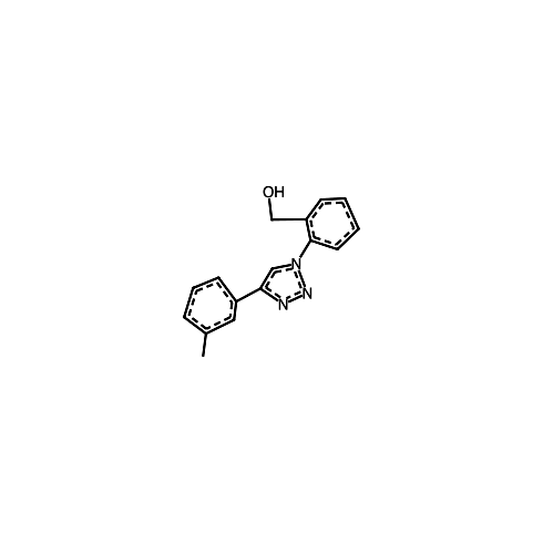 Cc1cccc(-c2cn(-c3ccccc3CO)nn2)c1